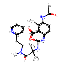 Cc1c(NC(=O)C(C)C)ccc2nc(NC(C)(C)C(=O)N(C)CCc3ccccn3)oc(=O)c12